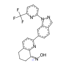 O/N=C1/CCCc2ccc(-c3ccc4cnn(-c5cccc(C(F)(F)F)n5)c4c3)nc21